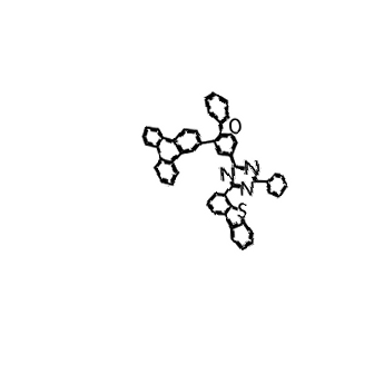 c1ccc(-c2nc(-c3cc(-c4ccc5c6ccccc6c6ccccc6c5c4)c4c(c3)oc3ccccc34)nc(-c3cccc4c3sc3ccccc34)n2)cc1